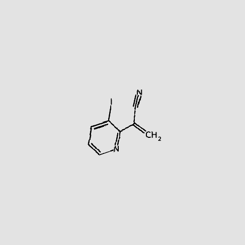 C=C(C#N)c1ncccc1I